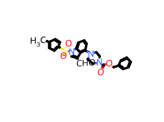 Cc1ccc(S(=O)(=O)n2cc(C=O)c3c(N4CCN(C(=O)OCc5ccccc5)CC4)cccc32)cc1